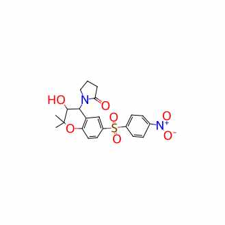 CC1(C)Oc2ccc(S(=O)(=O)c3ccc([N+](=O)[O-])cc3)cc2C(N2CCCC2=O)C1O